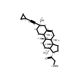 CSCC(=O)[C@H]1CC[C@H]2[C@@H]3CC=C4C[C@](O)(C#CC5CC5)CC[C@@H]4[C@H]3CC[C@]12C